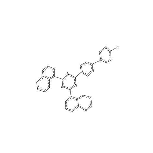 Clc1ccc(-c2ccc(-c3nc(-c4cccc5ccccc45)nc(-c4cccc5ccccc45)n3)cn2)cc1